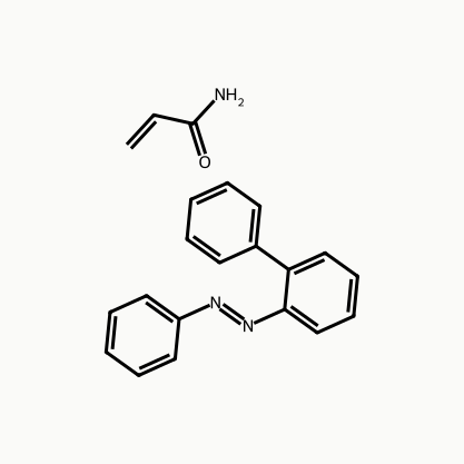 C=CC(N)=O.c1ccc(N=Nc2ccccc2-c2ccccc2)cc1